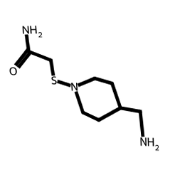 NCC1CCN(SCC(N)=O)CC1